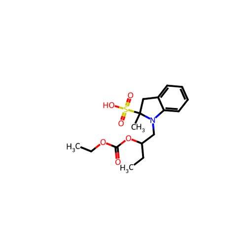 CCOC(=O)OC(CC)CN1c2ccccc2CC1(C)S(=O)(=O)O